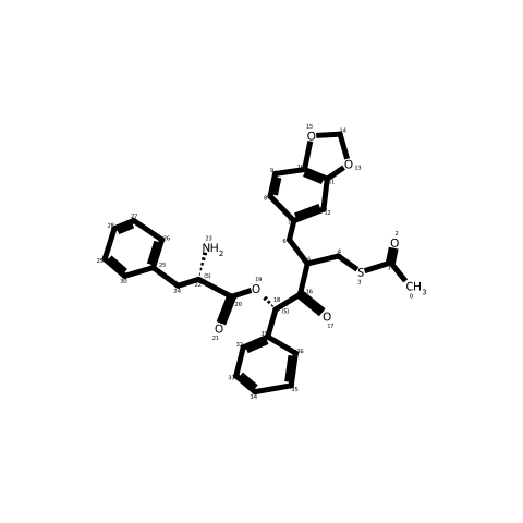 CC(=O)SCC(Cc1ccc2c(c1)OCO2)C(=O)[C@@H](OC(=O)[C@@H](N)Cc1ccccc1)c1ccccc1